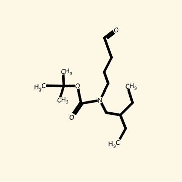 CCC(CC)CN(CCCC=O)C(=O)OC(C)(C)C